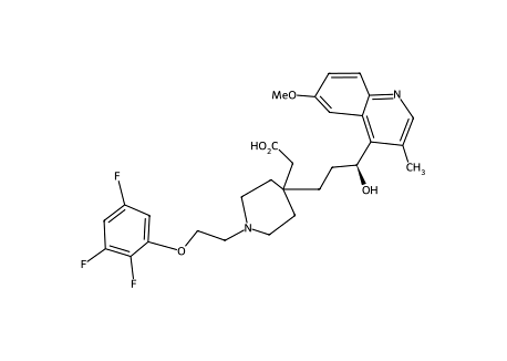 COc1ccc2ncc(C)c([C@@H](O)CCC3(CC(=O)O)CCN(CCOc4cc(F)cc(F)c4F)CC3)c2c1